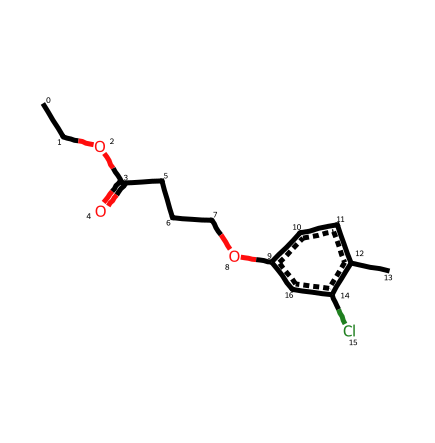 CCOC(=O)CCCOc1ccc(C)c(Cl)c1